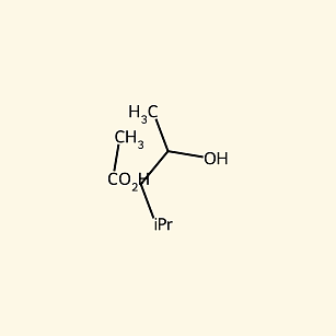 CC(=O)O.CC(C)CC(C)O